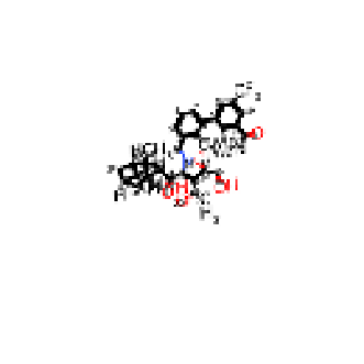 CNC(=O)c1cc(-c2cccc(CN3O[C@@H](CO)[C@H]([C@H](C)O)[C@H]3C(=O)C[C@H]3C[C@H]4C[C@@H]([C@@H]3C)C4(C)C)c2OC)cc(C(F)(F)F)c1